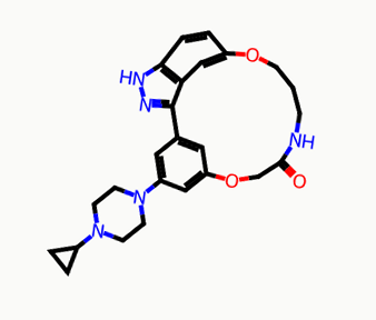 O=C1COc2cc(cc(N3CCN(C4CC4)CC3)c2)-c2n[nH]c3ccc(cc23)OCCCN1